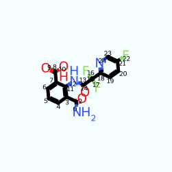 NC(=O)c1cccc(C(=O)O)c1NC(=O)C(F)(F)c1ccc(F)cn1